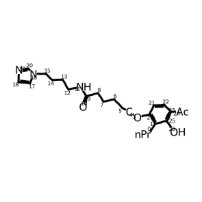 CCCc1c(OCCCCCC(=O)NCCCCn2ccnc2)ccc(C(C)=O)c1O